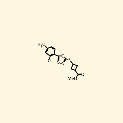 COC(=O)C1CC(Sc2nnc(-c3ccc(C(F)(F)F)cc3Cl)o2)C1